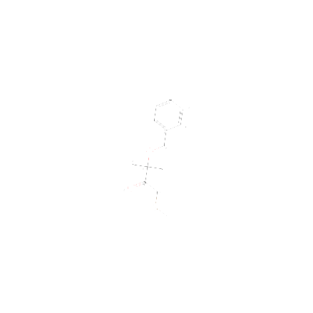 CSCC(=O)C(C)(C)OCc1ccccc1